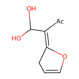 CC(=O)C(=C1CC=CO1)C(O)O